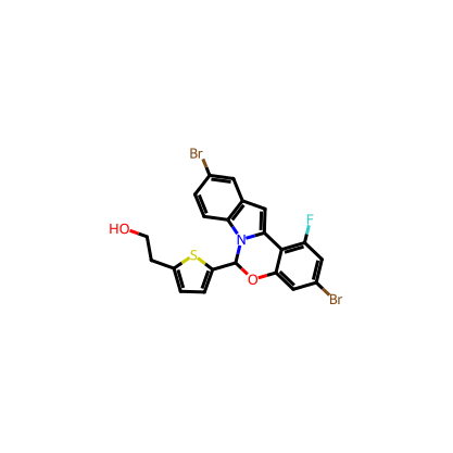 OCCc1ccc(C2Oc3cc(Br)cc(F)c3-c3cc4cc(Br)ccc4n32)s1